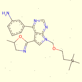 CC1CN=C(c2cn(COCC[Si](C)(C)C)c3ncnc(-c4cccc(N)c4)c23)O1